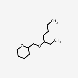 CCCCC(CC)OCC1CCCCO1